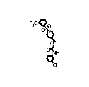 O=C(CON=C1CCN(S(=O)(=O)c2cccc(C(F)(F)F)c2)CC1)Nc1cccc(Cl)c1